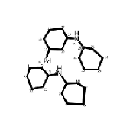 C1CCC(NC2CCCCC2)CC1.[Pd][CH]1CCCC(NC2CCCCC2)C1